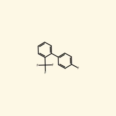 Fc1[c]cc(-c2ccccc2C(F)(F)F)cc1